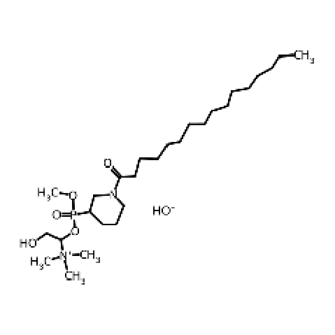 CCCCCCCCCCCCCCCC(=O)N1CCCC(P(=O)(OC)OC(CO)[N+](C)(C)C)C1.[OH-]